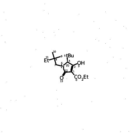 CCOC(=O)C1=C(O)[C@H](C(C)(C)C)N(CC(C)(C)CC)C1=O